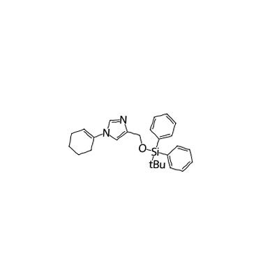 CC(C)(C)[Si](OCc1cn(C2=CCCCC2)cn1)(c1ccccc1)c1ccccc1